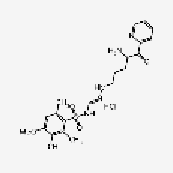 COc1cc(C)c(S(=O)(=O)NC=NNCCCC(N)C(=O)c2ccccn2)c(C)c1C.Cl